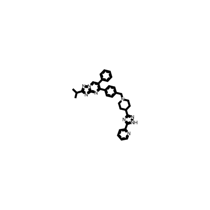 CC(C)c1nc2nc(-c3ccc(CN4CCC(c5n[nH]c(-c6ccccn6)n5)CC4)cc3)c(-c3ccccc3)cn2n1